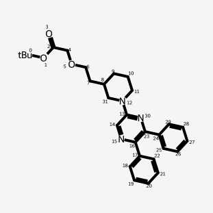 CC(C)(C)OC(=O)COCCC1CCCN(c2cnc(-c3ccccc3)c(-c3ccccc3)n2)C1